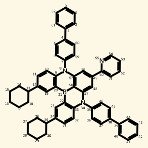 c1ccc(-c2ccc(N3c4ccc(C5CCCCC5)cc4B4c5cc(C6CCCCC6)ccc5N(c5ccc(-c6ccccc6)cc5)c5cc(-c6ccccn6)cc3c54)cc2)cc1